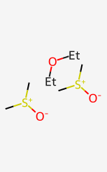 CCOCC.C[S+](C)[O-].C[S+](C)[O-]